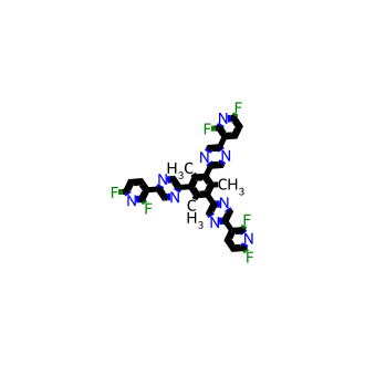 Cc1c(-c2cnc(-c3ccc(F)nc3F)cn2)c(C)c(-c2cnc(-c3ccc(F)nc3F)cn2)c(C)c1-c1cnc(-c2ccc(F)nc2F)cn1